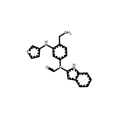 NCc1ccc(N(C=O)c2cc3ccccc3[nH]2)cc1Nc1ccsc1